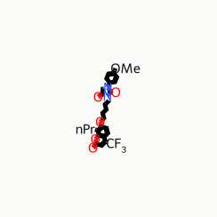 CCCc1c(OCCCCCN2C(=O)CN(C3C=CC(OC)=CC3)C2=O)ccc2c(C(F)(F)F)cc(=O)oc12